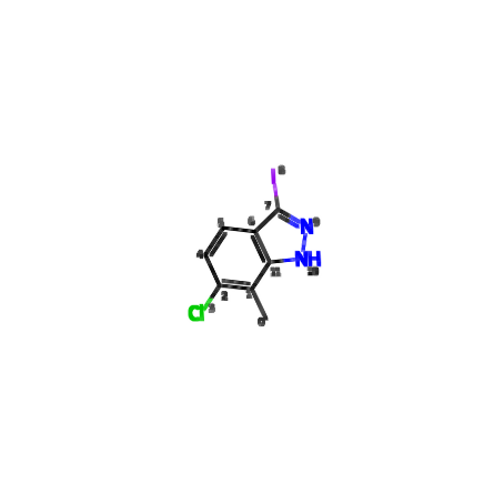 Cc1c(Cl)ccc2c(I)n[nH]c12